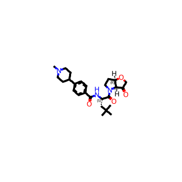 CN1CCC(c2ccc(C(=O)N[C@@H](CC(C)(C)C)C(=O)N3CC[C@H]4OCC(=O)[C@H]43)cc2)CC1